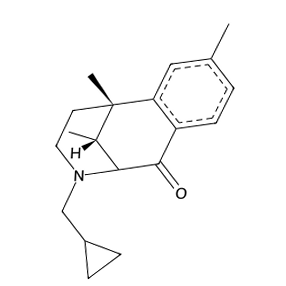 Cc1ccc2c(c1)[C@@]1(C)CCN(CC3CC3)C(C2=O)[C@@H]1C